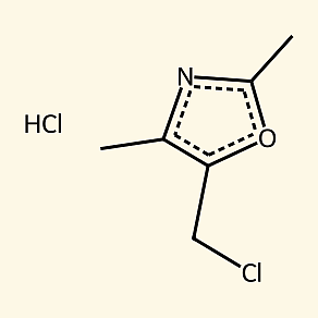 Cc1nc(C)c(CCl)o1.Cl